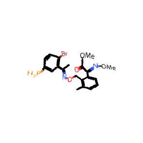 CO/N=C(/C(=O)OC)c1cccc(C)c1CO/N=C(\C)c1cc(P)ccc1Br